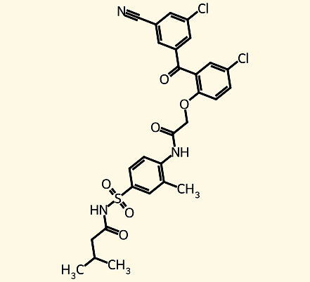 Cc1cc(S(=O)(=O)NC(=O)CC(C)C)ccc1NC(=O)COc1ccc(Cl)cc1C(=O)c1cc(Cl)cc(C#N)c1